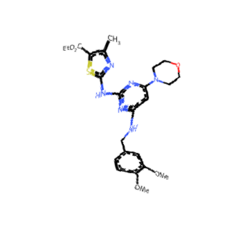 CCOC(=O)c1sc(Nc2nc(NCc3ccc(OC)c(OC)c3)cc(N3CCOCC3)n2)nc1C